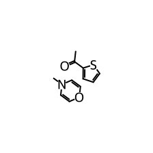 CC(=O)c1cccs1.CN1C=COC=C1